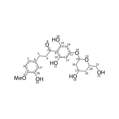 COc1ccc(CCC(=O)c2c(O)cc(OC3CC(O)CC(CO)O3)cc2O)cc1O